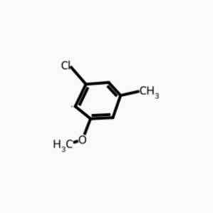 COc1[c]c(Cl)cc(C)c1